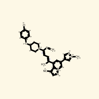 C=N/C(=C\C=C(/C)c1cc(-c2cnn(C)c2)cn2ncc(C#N)c12)N1CCC(Oc2ccc(Cl)cc2)CC1